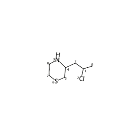 CC(Cl)CC1CSCCN1